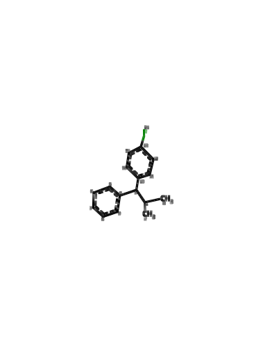 CC(C)C(c1ccccc1)c1ccc(F)cc1